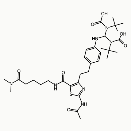 CC(=O)Nc1nc(CCc2ccc(NC(N(C(=O)O)C(C)(C)C)N(C(=O)O)C(C)(C)C)cc2)c(C(=O)NCCCCC(=O)N(C)C)s1